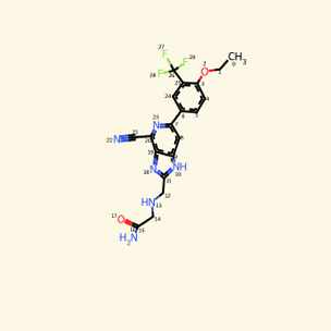 CCOc1ccc(-c2cc3[nH]c(CNCC(N)=O)nc3c(C#N)n2)cc1C(F)(F)F